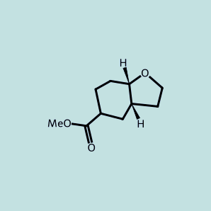 COC(=O)C1CC[C@@H]2OCC[C@@H]2C1